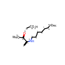 C=C(NCCCCCCCCCCCCCCCC)C(=O)OC.CC(=O)O